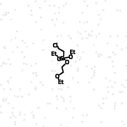 CCOCCO[Si](CCCl)(OCC)OCC